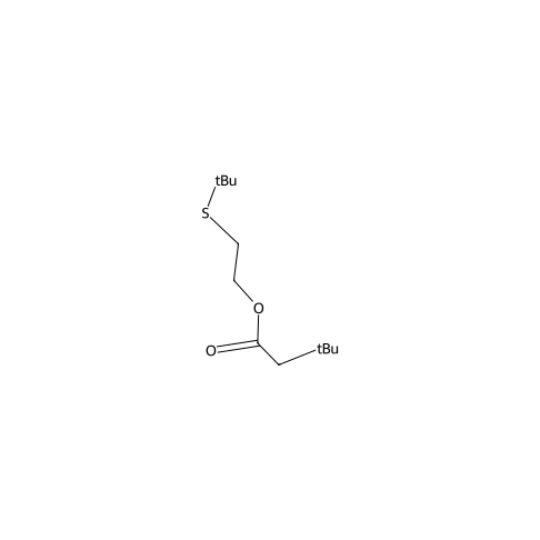 CC(C)(C)CC(=O)OCCSC(C)(C)C